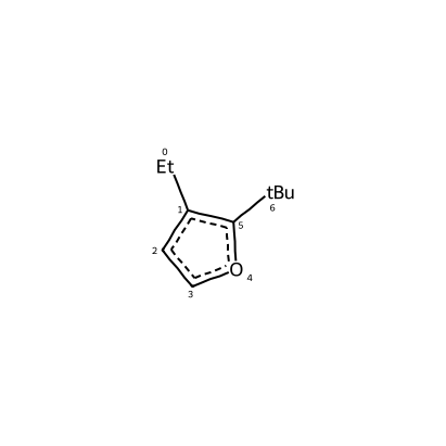 CCc1ccoc1C(C)(C)C